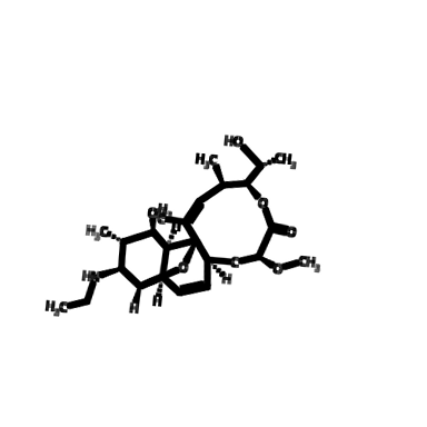 CCN[C@H]1[C@H](C)[C@@H](O)[C@@H]2[C@H]3C=C[C@@H]4C[C@H](OC)C(=O)O[C@H]([C@@H](C)O)[C@H](C)C=C(C)[C@@]24O[C@H]31